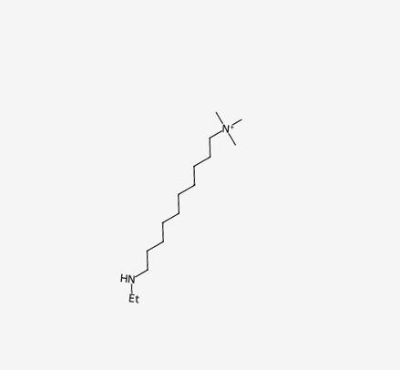 CCNCCCCCCCCCC[N+](C)(C)C